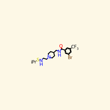 CC(C)SNCCN1CCC(CNC(=O)c2cc(Br)cc(C(F)(F)F)c2)CC1